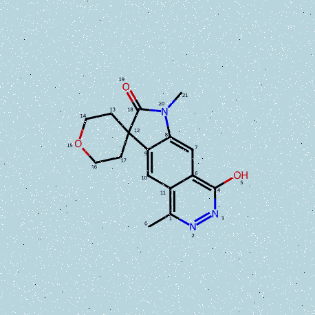 Cc1nnc(O)c2cc3c(cc12)C1(CCOCC1)C(=O)N3C